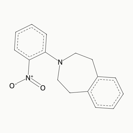 O=[N+]([O-])c1ccccc1N1CCc2ccccc2CC1